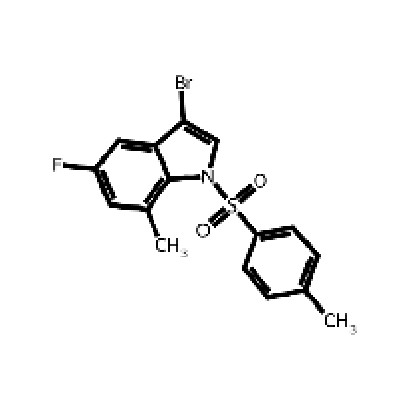 Cc1ccc(S(=O)(=O)n2cc(Br)c3cc(F)cc(C)c32)cc1